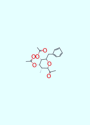 CC(=O)O[C@@H]1[C@H](OC(C)=O)C(Cc2ccccc2)OC(C(C)=O)[C@@H]1C